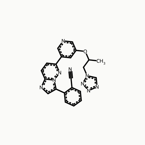 CC(Cn1cnnn1)Oc1cncc(-c2ccc3ncc(-c4ccccc4C#N)n3n2)c1